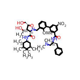 COc1c(CN2O[C@@H](CO)[C@@H]([C@H](C)O)[C@H]2C(=O)N[C@H]2C[C@@H](C)C(C)(C)[C@@H](C)[C@@H]2C)cccc1-c1cc(C(=O)N[C@@H](Cc2ccccc2)CN(C)C)cc([N+](=O)[O-])c1